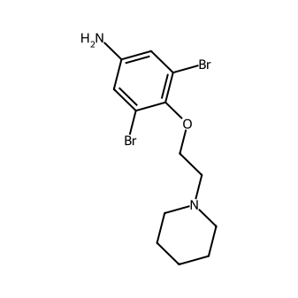 Nc1cc(Br)c(OCCN2CCCCC2)c(Br)c1